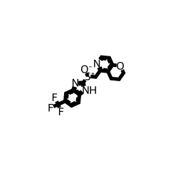 [O-][S+](Cc1nccc2c1CCCO2)c1nc2cc(C(F)(F)F)ccc2[nH]1